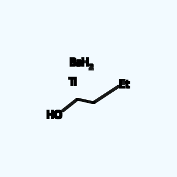 CCCCO.[BaH2].[Ti]